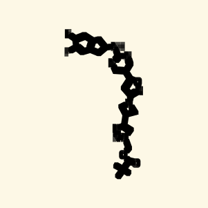 CC(C)(C)C(=O)OCn1cc(C2CN(c3cc(-c4cnc(NC5Cc6cc(F)c(F)cc6C5)nc4)on3)C2)nn1